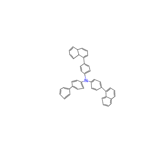 C1=CC2C=CC=C(c3ccc(N(c4ccc(-c5ccccc5)cc4)c4ccc(-c5cccc6ccccc56)cc4)cc3)C2C=C1